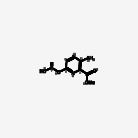 COC(=O)c1nc(OBO)cnc1N